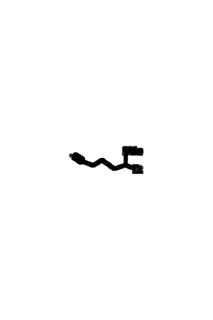 [C]#CCCCC(CC)SC